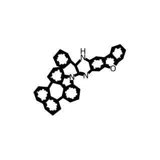 c1ccc(C2Nc3cc4c(cc3N=C2n2c3cccc5c3c3c(cccc32)-c2cccc3cccc-5c23)oc2ccccc24)cc1